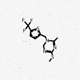 CSC1=NCN(Cc2ccc(C(F)(F)F)s2)C(C)=N1